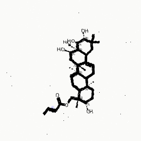 C/C=C/C(=O)OC[C@]1(C)C2CC[C@]3(C)C(CC=C4C5CC(C)(C)[C@@H](O)[C@H](O)[C@]5(CO)[C@H](O)C[C@]43C)[C@@]2(C)CC[C@@H]1O